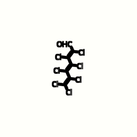 O=CC(Cl)=C(Cl)C(Cl)=C(Cl)C(Cl)=C(Cl)Cl